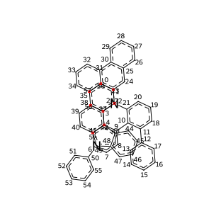 c1ccc(-c2ccccc2-c2c(-c3ccccc3)cccc2N(c2cc3ccccc3c3ccccc23)c2cccc3c2c2ccccc2n3-c2ccccc2)cc1